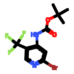 CC(C)(C)OC(=O)Nc1cc(Br)ncc1C(F)(F)F